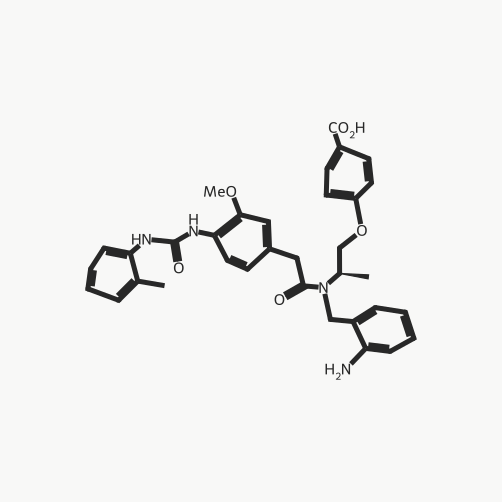 COc1cc(CC(=O)N(Cc2ccccc2N)[C@H](C)COc2ccc(C(=O)O)cc2)ccc1NC(=O)Nc1ccccc1C